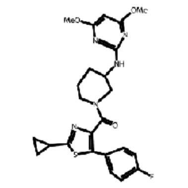 COc1cc(OC)nc(NC2CCCN(C(=O)c3nc(C4CC4)sc3-c3ccc(F)cc3)C2)n1